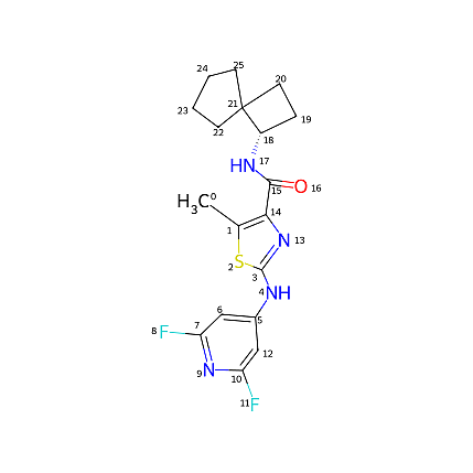 Cc1sc(Nc2cc(F)nc(F)c2)nc1C(=O)N[C@H]1CCC12CCCC2